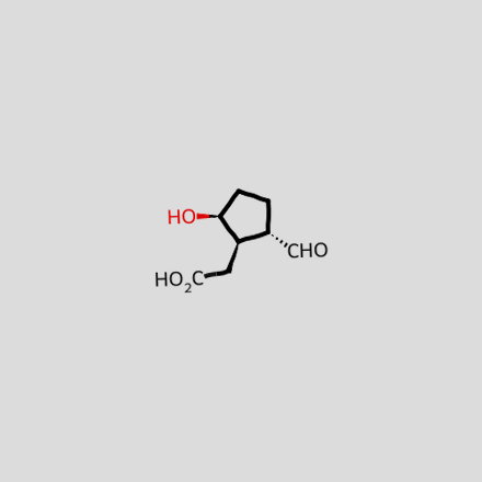 O=C[C@H]1CC[C@H](O)[C@@H]1CC(=O)O